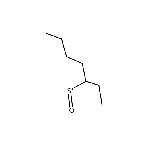 [CH2]CCCC(CC)[S+]=O